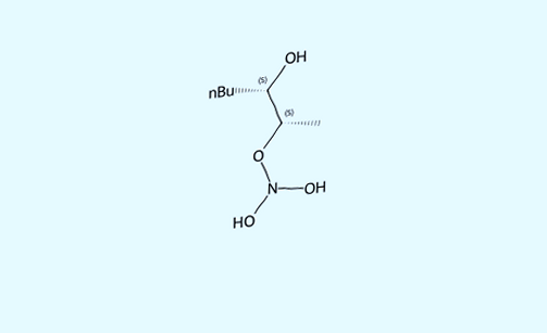 CCCC[C@H](O)[C@H](C)ON(O)O